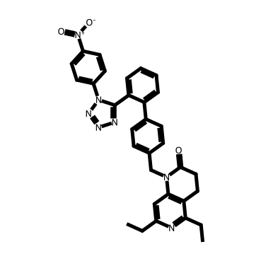 CCc1cc2c(c(CC)n1)CCC(=O)N2Cc1ccc(-c2ccccc2-c2nnnn2-c2ccc([N+](=O)[O-])cc2)cc1